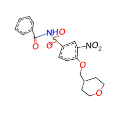 O=C(NS(=O)(=O)c1ccc(OCC2CCOCC2)c([N+](=O)[O-])c1)c1ccccc1